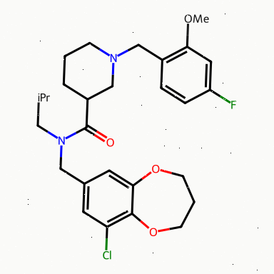 COc1cc(F)ccc1CN1CCCC(C(=O)N(Cc2cc(Cl)c3c(c2)OCCCO3)CC(C)C)C1